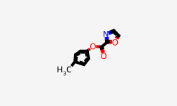 Cc1ccc(OC(=O)c2ncco2)cc1